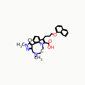 Cc1c2c(nn1C)CN(C)CCCn1c(C(=O)O)c(CCCOc3cccc4ccccc34)c3cccc-2c31